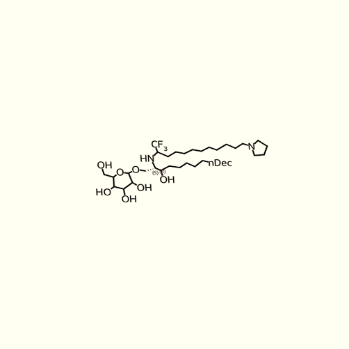 CCCCCCCCCCCCCCC[C@@H](O)[C@H](COC1OC(CO)C(O)C(O)C1O)NC(CCCCCCCCCCN1CCCC1)C(F)(F)F